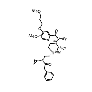 COCCCOc1cc(C(=O)N(C(C)C)[C@@H]2CC[C@@H](CCN(C(=O)Cc3ccccc3)C3CC3)NC2)ccc1OC.Cl